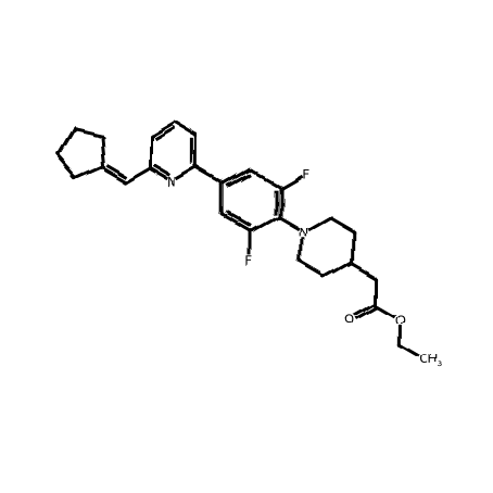 CCOC(=O)CC1CCN(c2c(F)cc(-c3cccc(C=C4CCCC4)n3)cc2F)CC1